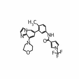 Cc1ccc(NC(=O)c2ccn(C(F)(F)F)c2)cc1-c1cc(N2CCOCC2)c2nccn2c1